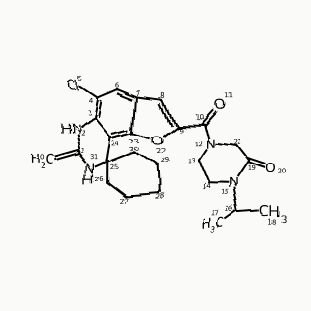 C=C1Nc2c(Cl)cc3cc(C(=O)N4CCN(C(C)C)C(=O)C4)oc3c2C2(CCCCC2)N1